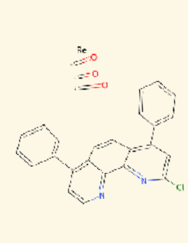 Clc1cc(-c2ccccc2)c2ccc3c(-c4ccccc4)ccnc3c2n1.[C]=O.[C]=O.[C]=O.[Re]